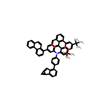 CC(C)(C)c1cc(-c2cccc3cccc(-c4ccccc4N(c4ccc(-c5cccc6c7cc-7cc56)cc4)c4cccc(-c5cccc6c5ccc5ccccc56)c4)c23)cc(C(C)(C)C)c1